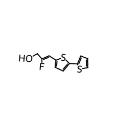 OC/C(F)=C/c1ccc(-c2cccs2)s1